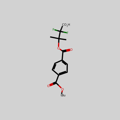 CC(C)(C)OC(=O)c1ccc(C(=O)OC(C)(C)C(F)(F)C(=O)O)cc1